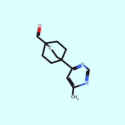 Cc1cc(C23CCC(C=O)(CC2)CC3)ncn1